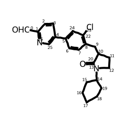 O=Cc1ccc(-c2ccc(CC3CCN(C4CCCCC4)C3=O)c(Cl)c2)cn1